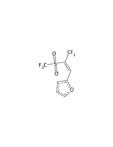 O=S(=O)(/C(=C\c1ccco1)C(F)(F)F)C(F)(F)F